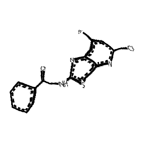 O=C(Nc1nc2c(Br)cc(Cl)nc2s1)c1ccccc1